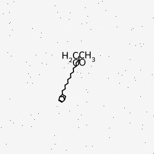 C=C(C)C(=O)OCCCCCCCCCCC1CC2C=CC1C2